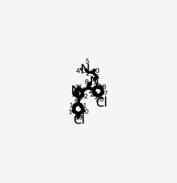 CC(CN(C)C)Cn1cc(-c2cncc(-c3ccc(Cl)cc3)c2)c2cc(Cl)ccc21